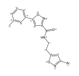 CC(=O)c1cc(CCNC(=O)c2cc(-c3cccc(C)c3)on2)on1